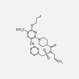 C=CCN(C(=O)C1CCN(c2nc(OCCF)c(C(=O)OCC)cc2C#N)CC1)S(=O)(=O)Cc1ccccc1